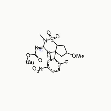 COC1CC2C(c3cc([N+](=O)[O-])ccc3F)(C1)N/C(=N\C(=O)OC(C)(C)C)N(C)S2(=O)=O